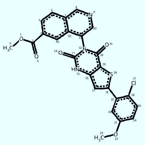 COC(=O)c1ccc2cncc(-n3c(=O)[nH]c4cc(-c5cc(OC)ccc5Cl)sc4c3=O)c2c1